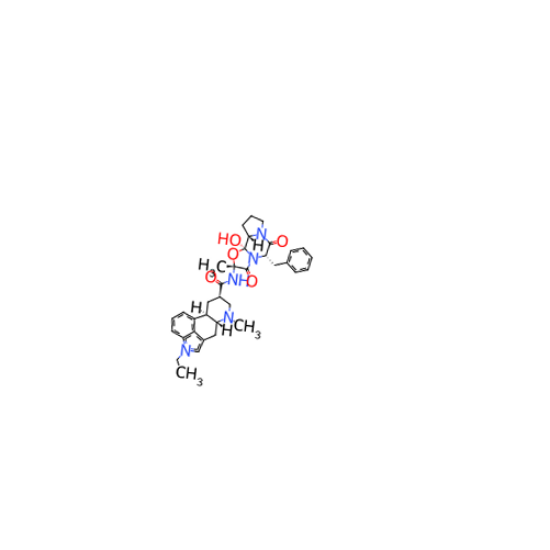 CCn1cc2c3c(cccc31)[C@H]1C[C@@H](C(=O)N[C@]3(C)O[C@@]4(O)[C@@H]5CCCN5C(=O)[C@H](Cc5ccccc5)N4C3=O)CN(C)[C@@H]1C2